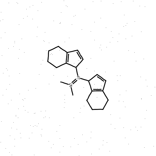 C[Si](C)=[Ti]([CH]1C=CC2=C1CCCC2)[CH]1C=CC2=C1CCCC2